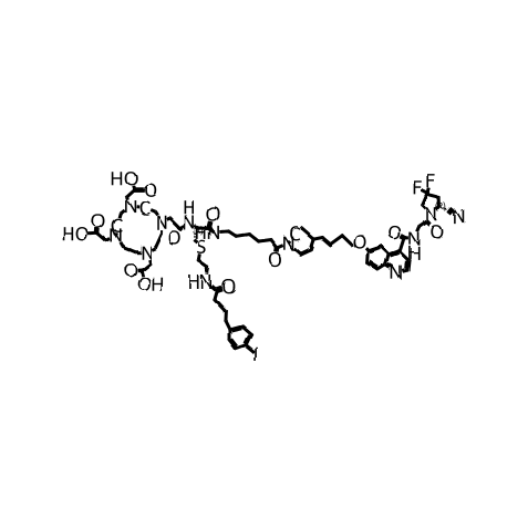 N#C[C@H]1CC(F)(F)CN1C(=O)CNC(=O)c1ccnc2ccc(OCCCCC3CCN(C(=O)CCCCCNC(=O)[C@H](CSCCNC(=O)CCCc4ccc(I)cc4)NC(=O)CN4CCN(CC(=O)O)CCN(CC(=O)O)CCN(CC(=O)O)CC4)CC3)cc12